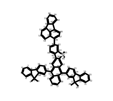 CC1(C)c2ccccc2-c2ccc(-c3c4ccccc4c(-c4ccc5c(c4)C(C)(C)c4ccccc4-5)c4cc5c(cc34)-c3ccc(-c4ccc6c7c(cccc47)-c4ccccc4-6)cc3[Si]5(C)C)cc21